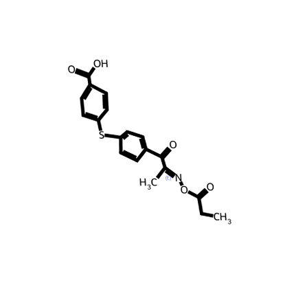 CCC(=O)O/N=C(\C)C(=O)c1ccc(Sc2ccc(C(=O)O)cc2)cc1